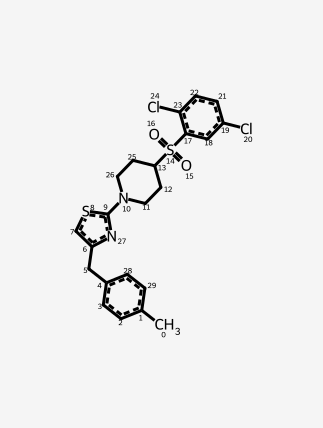 Cc1ccc(Cc2csc(N3CCC(S(=O)(=O)c4cc(Cl)ccc4Cl)CC3)n2)cc1